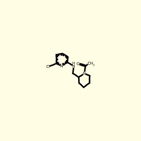 CC(=O)N1CCCCC1CNc1cccc(Cl)n1